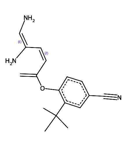 C=C(/C=C\C(N)=C/N)Oc1ccc(C#N)cc1C(C)(C)C